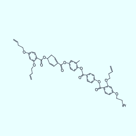 C=CCCOc1ccc(C(=O)OC2C=CC(C(=O)Oc3ccc(OC(=O)c4ccc(OC(=O)c5ccc(OCCC(C)C)cc5OCCC=C)cc4)c(C)c3)=CC2)c(OCCC=C)c1